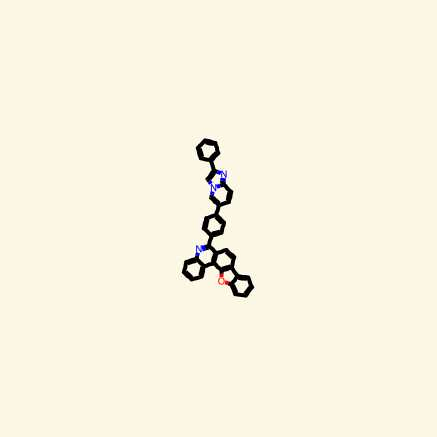 c1ccc(-c2cn3cc(-c4ccc(-c5nc6ccccc6c6c5ccc5c7ccccc7oc56)cc4)ccc3n2)cc1